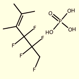 CC(C)=C(C)C(F)(F)C(F)(F)CF.O=P(O)(O)O